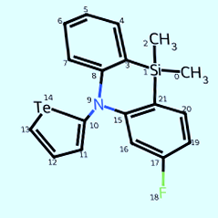 C[Si]1(C)c2ccccc2N(c2ccc[te]2)c2cc(F)ccc21